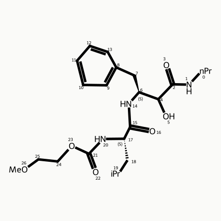 CCCNC(=O)C(O)[C@H](Cc1ccccc1)NC(=O)[C@H](CC(C)C)NC(=O)OCCOC